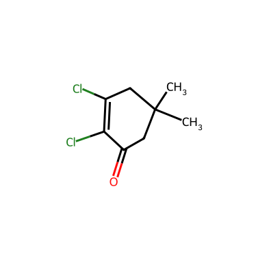 CC1(C)CC(=O)C(Cl)=C(Cl)C1